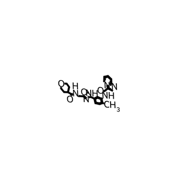 Cc1ccc(C2N=C(CNC(=O)C3CCOCC3)ON2)cc1NC(=O)c1cnc2ccccn12